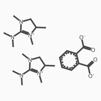 CC1CN(C)C(N(C)C)=[N+]1C.CC1CN(C)C(N(C)C)=[N+]1C.O=C([O-])c1ccccc1C(=O)[O-]